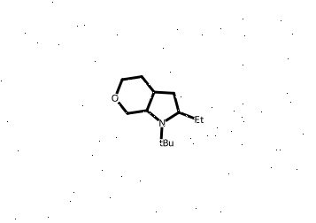 CCC1CC2CCOCC2N1C(C)(C)C